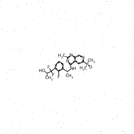 Cc1nc(N[C@H](C)c2cccc(C(F)(F)[C@@H](C)O)c2F)c2cc(P(C)(C)=O)ncc2n1